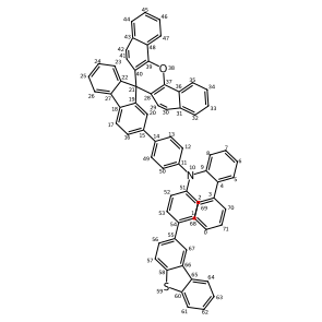 c1ccc(-c2ccccc2N(c2ccc(-c3ccc4c(c3)C3(c5ccccc5-4)c4ccc5ccccc5c4Oc4c3ccc3ccccc43)cc2)c2ccc(-c3ccc4sc5ccccc5c4c3)cc2)cc1